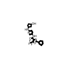 O=C(Nc1ccc(NC2CC[C@H](O)C2)nc1)c1nc(-c2ccccc2)oc1C(F)(F)F